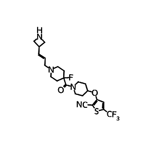 N#Cc1sc(C(F)(F)F)cc1OC1CCN(C(=O)C2(F)CCN(C/C=C/C3CNC3)CC2)CC1